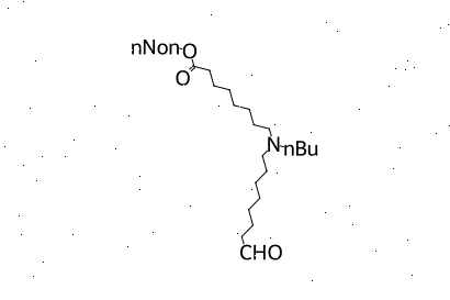 CCCCCCCCCOC(=O)CCCCCCCN(CCCC)CCCCCCCC=O